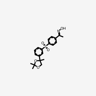 CC(=NO)c1ccc(S(=O)(=O)c2cccc(C3(C)COC(C)(C)O3)c2)cc1